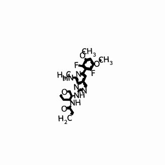 C=CC(=O)N[C@H]1CCOC[C@H]1Nc1ncc2cc(-c3c(F)c(OC)cc(OC)c3F)nc(NC)c2n1